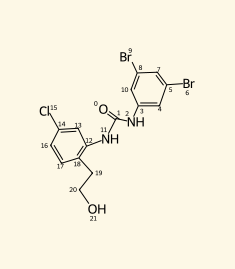 O=C(Nc1cc(Br)cc(Br)c1)Nc1cc(Cl)ccc1CCO